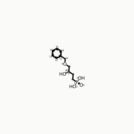 O=P(O)(O)CC[C@@H](O)COCc1ccccc1